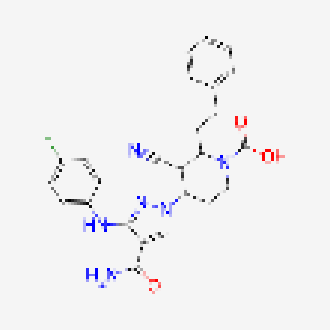 N#CC1C(CCc2ccccc2)N(C(=O)O)CCC1n1cc(C(N)=O)c(Nc2ccc(F)cc2)n1